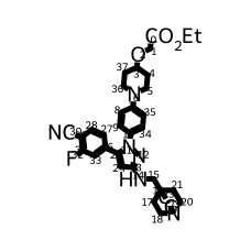 CCOC(=O)COC1CCN(c2ccc(-n3nc(NCC45CCN(CC4)CC5)cc3-c3ccc(C#N)c(F)c3)cc2)CC1